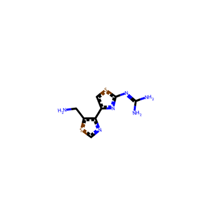 NCc1scnc1-c1csc(N=C(N)N)n1